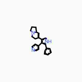 C1=C(c2c[nH]c(-c3ccccc3)c2-c2ccncc2)CCN2CCCC12